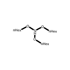 CCCCCCO[SiH](OCCCCCC)OCCCCCC